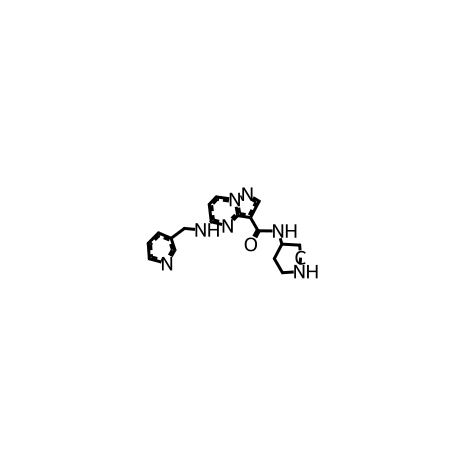 O=C(NC1CCNCC1)c1cnn2ccc(NCc3cccnc3)nc12